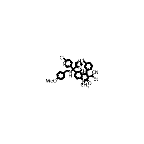 CCC(C#N)c1c(-c2cccc(Cl)c2)c2cc(C(NCc3ccc(OC)cc3)(c3ccc(Cl)nc3)c3cncn3C)ccc2n(C)c1=O